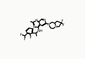 Cc1nc(NC(C)c2cccc(C(F)F)c2F)c2cc(N3CCN4CC(F)(F)CC4C3)ncc2n1